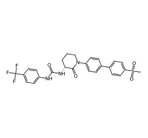 CS(=O)(=O)c1ccc(-c2ccc(N3CCC[C@@H](NC(=O)Nc4ccc(C(F)(F)F)cc4)C3=O)cc2)cc1